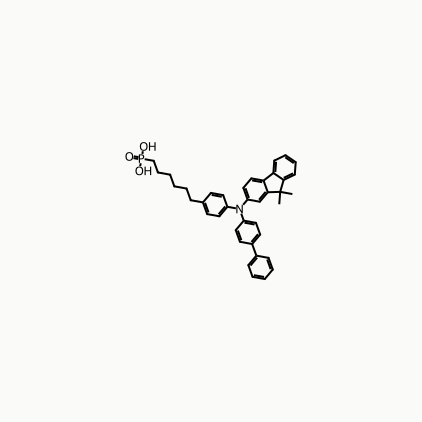 CC1(C)c2ccccc2-c2ccc(N(c3ccc(CCCCCCP(=O)(O)O)cc3)c3ccc(-c4ccccc4)cc3)cc21